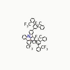 FC(F)(F)c1cc(-c2ccccc2-n2c3ccc(-c4cc(-c5ccccc5C(F)(F)F)cc(-c5ccccc5C(F)(F)F)c4)cc3c3cc(-c4cc(-c5ccccc5C(F)(F)F)cc(-c5ccccc5C(F)(F)F)c4)ccc32)cc(C(F)(F)F)c1